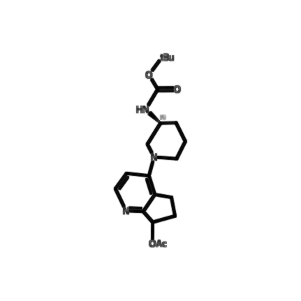 CC(=O)OC1CCc2c(N3CCC[C@H](NC(=O)OC(C)(C)C)C3)ccnc21